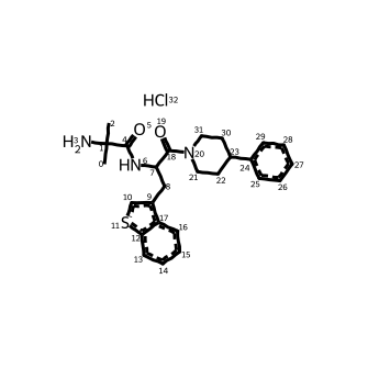 CC(C)(N)C(=O)NC(Cc1csc2ccccc12)C(=O)N1CCC(c2ccccc2)CC1.Cl